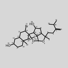 C=C(CCC1(C)OC2OC34C(Br)CC5CC(O)CCC5(C)C3CCC23C1CC(O)C34)C(C)C